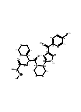 CN[C@@H](C)C(=O)N[C@H](C(=O)N1CCCC[C@@H]1c1nc(C(=O)c2ccc(F)cc2)cs1)C1=CCCCC1